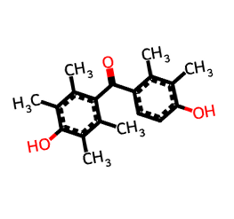 Cc1c(O)ccc(C(=O)c2c(C)c(C)c(O)c(C)c2C)c1C